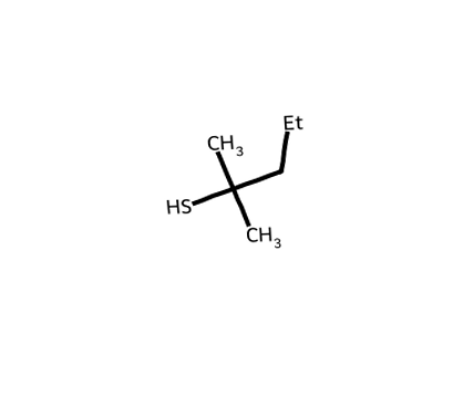 CCCC(C)(C)S